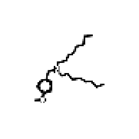 CCCCCCCCN(CCCCCCCC)Cc1ccc(OC)cc1